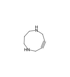 C1#CCNCCCNC1